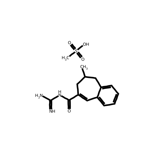 CC1CC(C(=O)NC(=N)N)=Cc2ccccc2C1.CS(=O)(=O)O